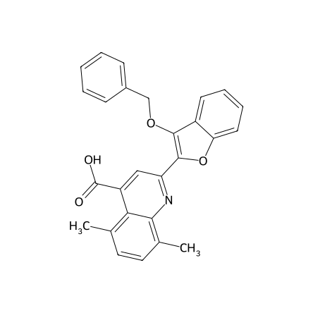 Cc1ccc(C)c2c(C(=O)O)cc(-c3oc4ccccc4c3OCc3ccccc3)nc12